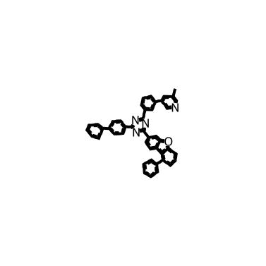 Cc1cncc(-c2cccc(-c3nc(-c4ccc(-c5ccccc5)cc4)nc(-c4ccc5c(c4)oc4cccc(-c6ccccc6)c45)n3)c2)c1